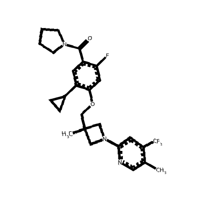 Cc1cnc(N2CC(C)(COc3cc(F)c(C(=O)N4CCCC4)cc3C3CC3)C2)cc1C(F)(F)F